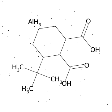 CC(C)(C)C1CCCC(C(=O)O)C1C(=O)O.[AlH3]